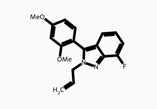 C=CCn1nc2c(F)cccc2c1-c1ccc(OC)cc1OC